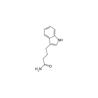 NC(=O)CCCc1c[nH]c2cc[c]cc12